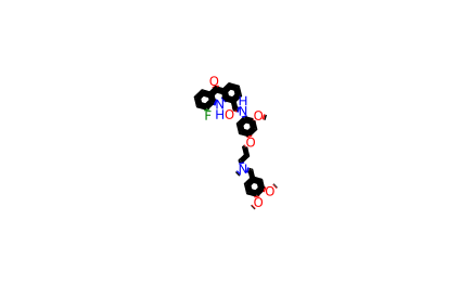 COc1cc(OCCCN(C)Cc2ccc(OC)c(OC)c2)ccc1NC(=O)c1cccc2c(=O)c3cccc(F)c3[nH]c12